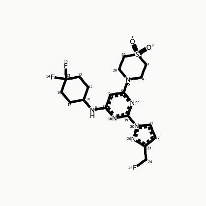 O=S1(=O)CCN(c2cc(NC3CCC(F)(F)CC3)nc(-n3ccc(CF)n3)n2)CC1